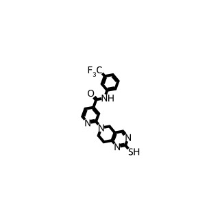 O=C(Nc1cccc(C(F)(F)F)c1)c1ccnc(N2CCc3nc(S)ncc3C2)c1